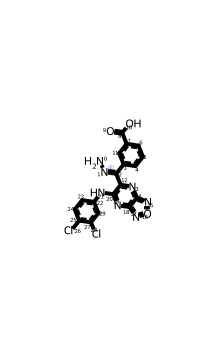 N/N=C(\c1cccc(C(=O)O)c1)c1nc2nonc2nc1Nc1ccc(Cl)c(Cl)c1